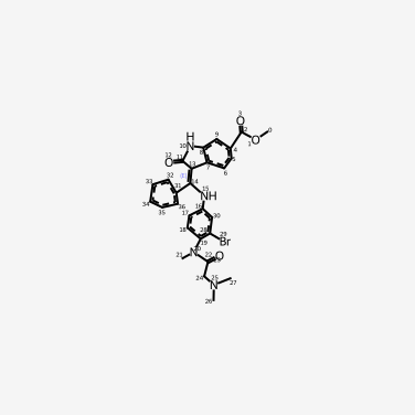 COC(=O)c1ccc2c(c1)NC(=O)/C2=C(/Nc1ccc(N(C)C(=O)CN(C)C)c(Br)c1)c1ccccc1